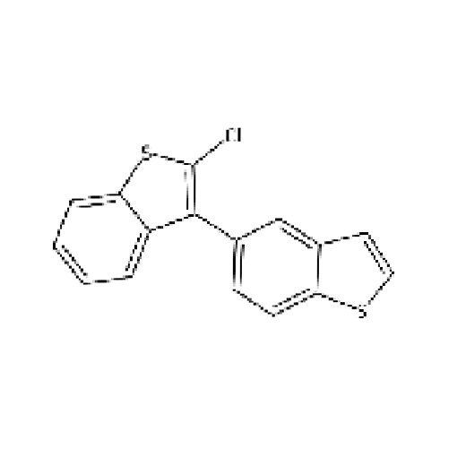 Clc1sc2ccccc2c1-c1ccc2sccc2c1